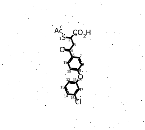 CC(=O)SC(CC(=O)c1ccc(Oc2cccc(Cl)c2)cc1)C(=O)O